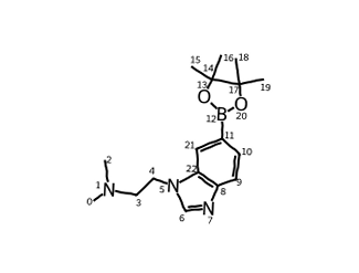 CN(C)CCn1cnc2ccc(B3OC(C)(C)C(C)(C)O3)cc21